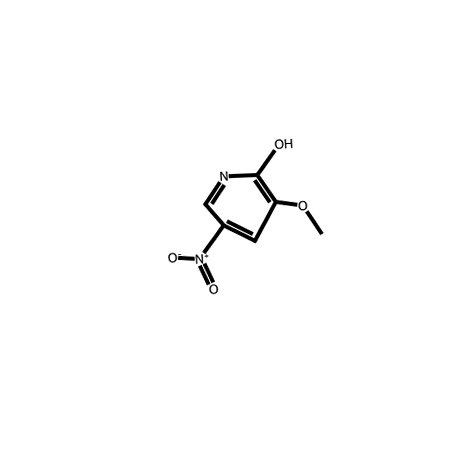 COc1cc([N+](=O)[O-])cnc1O